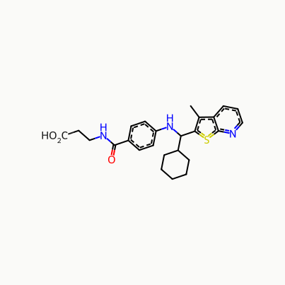 Cc1c(C(Nc2ccc(C(=O)NCCC(=O)O)cc2)C2CCCCC2)sc2ncccc12